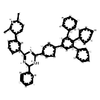 Cc1ccc(-c2cccc(C3=NC(c4c#cccc4)NC(c4ccc(-c5cc(-c6ccccc6)c(-c6ccccc6)c(-c6ccccc6)c5)cc4)=N3)c2)c(C)n1